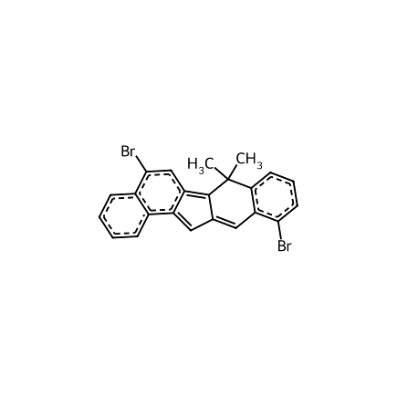 CC1(C)C2=c3cc(Br)c4ccccc4c3=CC2=Cc2c(Br)cccc21